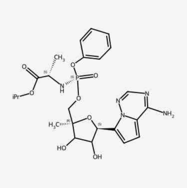 CC(C)OC(=O)[C@H](C)N[P@](=O)(OC[C@@]1(C)O[C@@H](c2ccc3c(N)ncnn23)C(O)C1O)Oc1ccccc1